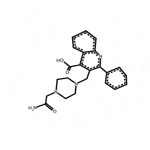 NC(=O)CN1CCN(Cc2c(-c3ccccc3)nc3ccccc3c2C(=O)O)CC1